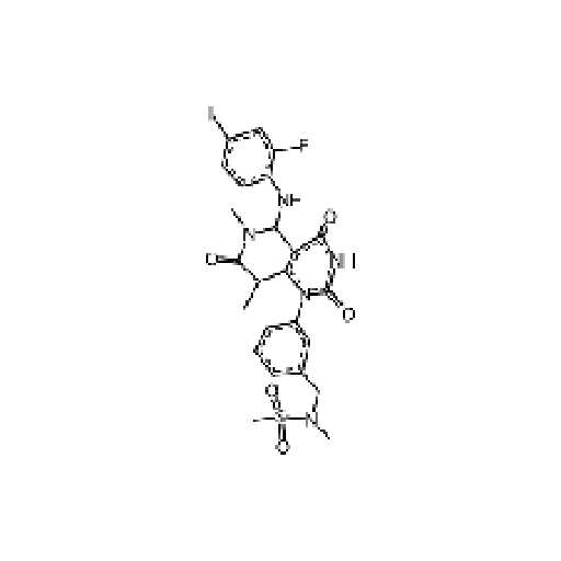 CC1C(=O)N(C)C(Nc2ccc(I)cc2F)c2c1n(-c1cccc(CN(C)S(C)(=O)=O)c1)c(=O)[nH]c2=O